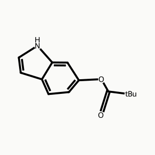 CC(C)(C)C(=O)Oc1ccc2cc[nH]c2c1